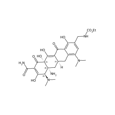 CCOC(=O)NCc1cc(N(C)C)c2c(c1O)C(=O)C1=C(O)[C@]3(O)C(=O)C(C(N)=O)=C(O)[C@H](N(C)C)[C@]3(N)C[C@@H]1C2